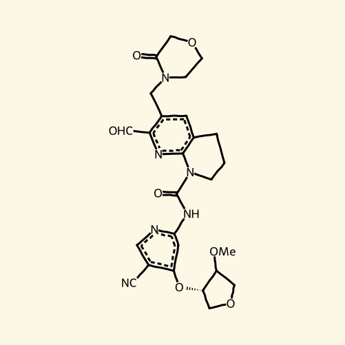 COC1COC[C@@H]1Oc1cc(NC(=O)N2CCCc3cc(CN4CCOCC4=O)c(C=O)nc32)ncc1C#N